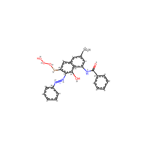 O=C(Nc1cc(S(=O)(=O)O)cc2cc(SOOO)c(/N=N/c3ccccc3)c(O)c12)c1ccccc1